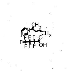 C=CCC(=C)n1ccnc1.O=C(O)C(F)(F)C(F)(F)C(F)(F)F